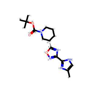 Cc1c[nH]c(-c2noc([C@H]3CCCN(C(=O)OC(C)(C)C)C3)n2)n1